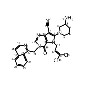 N#Cc1c(N2CCCC(N)C2)n(CC=C(Cl)Cl)c2c(=O)n(Cc3nccc4ccccc34)cnc12